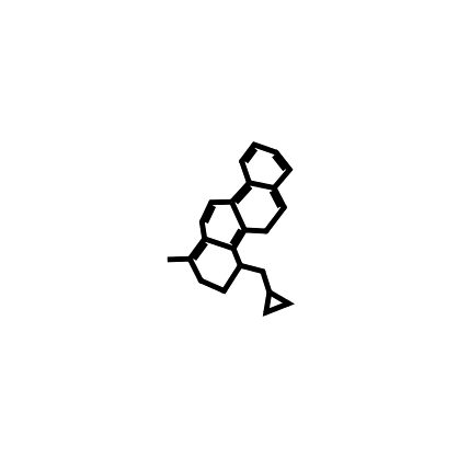 CC1=c2ccc3c(c2C(CC2CC2)CC1)CC=c1ccccc1=3